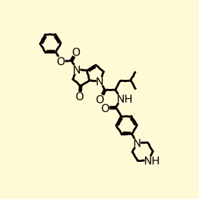 CC(C)CC(NC(=O)c1ccc(N2CCNCC2)cc1)C(=O)N1CC=C2C1C(=O)CN2C(=O)Oc1ccccc1